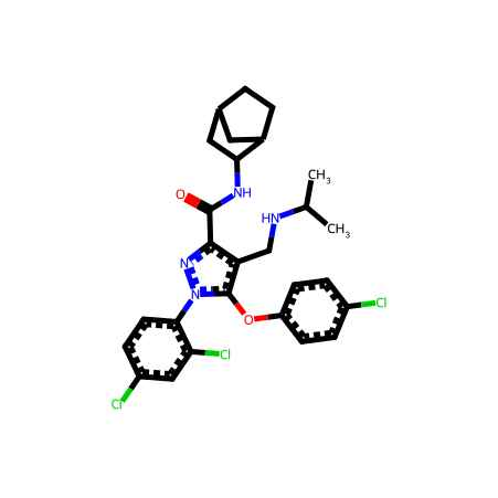 CC(C)NCc1c(C(=O)NC2CC3CCC2C3)nn(-c2ccc(Cl)cc2Cl)c1Oc1ccc(Cl)cc1